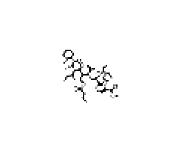 CCCC(=O)OCC(C(=O)[C@@H](NC(=O)[C@H]1CCCCN1C)[C@@H](C)CC)[C@H](CC(O[Si](CC)(CC)CC)c1nc(C(=O)OC)cs1)C(C)C